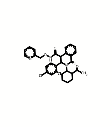 CC(=O)C1CCCCC1N1C(=O)c2ccccc2C(C(=O)NOCc2ccccn2)C1c1ccc(Cl)cc1Cl